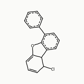 ClC1C=CC=C2Oc3c(-c4ccccc4)cccc3C21